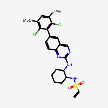 C=CS(=O)(=O)N[C@H]1CCCC[C@H]1Nc1ncc2cc(-c3c(Cl)c(OC)cc(OC)c3Cl)ccc2n1